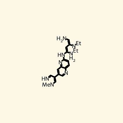 CCN(CC)C(/C=C(\N)Nc1ccc2ncc(/C(C=N)=C/NC)cc2n1)=C/N